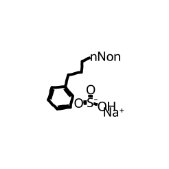 CCCCCCCCCCCCc1ccccc1.O=[S-](=O)O.[Na+]